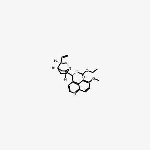 C=C[C@H]1C[N@]2CC[C@H]1C[C@H]2[C@H](OC(=O)OCC)c1ccnc2ccc(OC)cc12